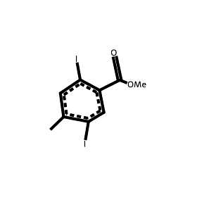 COC(=O)c1cc(I)c(C)cc1I